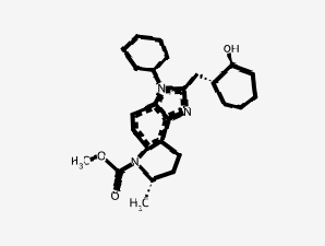 COC(=O)N1c2ccc3c(nc(C[C@H]4CCCC[C@@H]4O)n3C3CCCCC3)c2CC[C@@H]1C